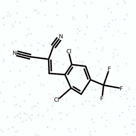 N#CC(C#N)=Cc1c(Cl)cc(C(F)(F)F)cc1Cl